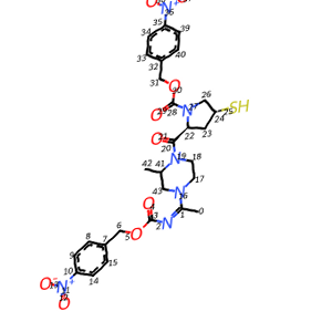 CC(=NC(=O)OCc1ccc([N+](=O)[O-])cc1)N1CCN(C(=O)[C@@H]2C[C@H](S)CN2C(=O)OCc2ccc([N+](=O)[O-])cc2)C(C)C1